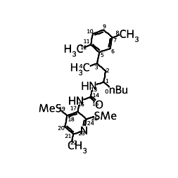 CCCCC(CC(C)c1cc(C)ccc1C)NC(=O)Nc1c(SC)cc(C)nc1SC